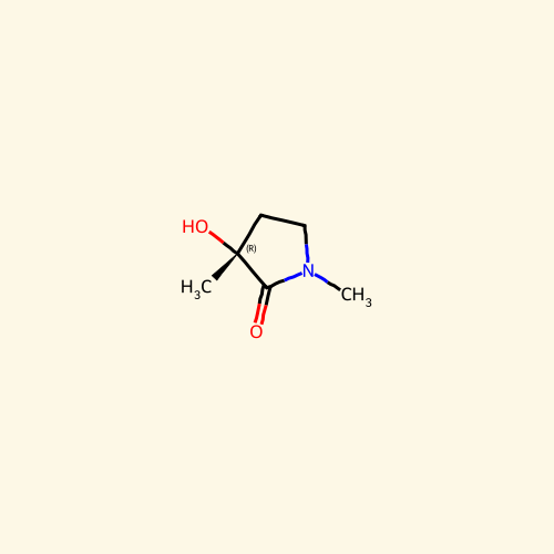 CN1CC[C@@](C)(O)C1=O